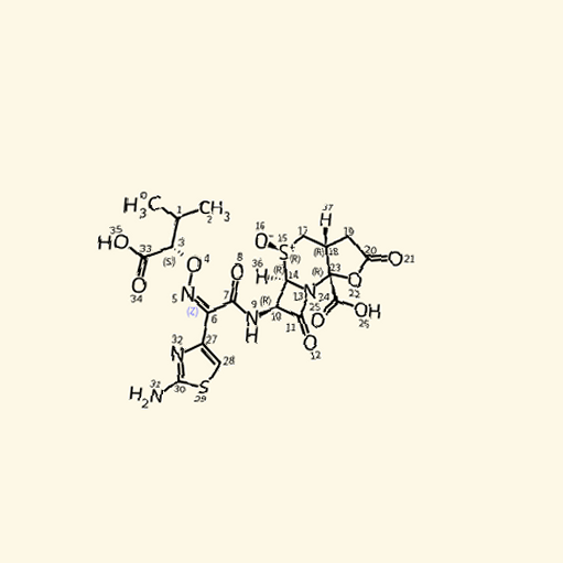 CC(C)[C@H](O/N=C(\C(=O)N[C@@H]1C(=O)N2[C@@H]1[S@@+]([O-])C[C@@H]1CC(=O)O[C@@]12C(=O)O)c1csc(N)n1)C(=O)O